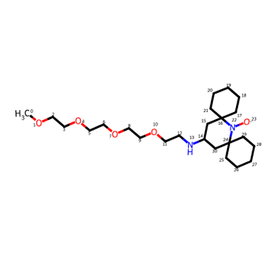 COCCOCCOCCOCCNC1CC2(CCCCC2)N([O])C2(CCCCC2)C1